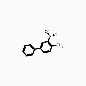 Cc1ccc(-c2ccccc2)cc1[N+](=O)[O-]